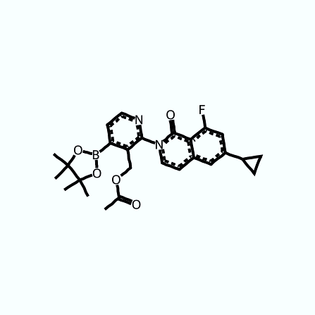 CC(=O)OCc1c(B2OC(C)(C)C(C)(C)O2)ccnc1-n1ccc2cc(C3CC3)cc(F)c2c1=O